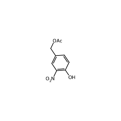 CC(=O)OCc1ccc(O)c([N+](=O)[O-])c1